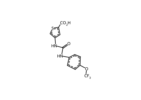 O=C(Nc1ccc(OC(F)(F)F)cc1)Nc1csc(C(=O)O)c1